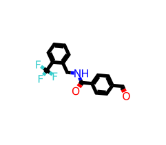 O=Cc1ccc(C(=O)NCc2ccccc2C(F)(F)F)cc1